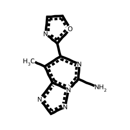 Cc1c(-c2ncco2)nc(N)n2ncnc12